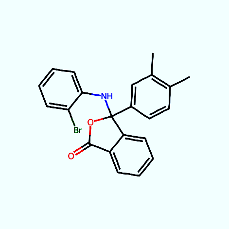 Cc1ccc(C2(Nc3ccccc3Br)OC(=O)c3ccccc32)cc1C